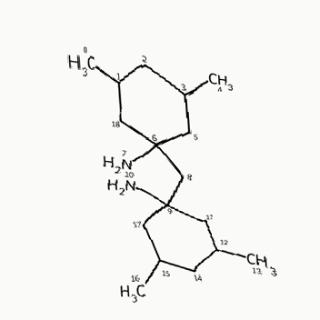 CC1CC(C)CC(N)(CC2(N)CC(C)CC(C)C2)C1